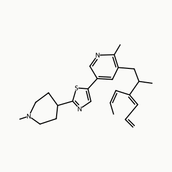 C=C/C=C(\C=C/C)C(C)Cc1cc(-c2cnc(C3CCN(C)CC3)s2)cnc1C